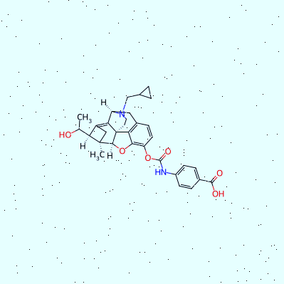 CC(O)[C@H]1C2=C3[C@H]4Cc5ccc(OC(=O)Nc6ccc(C(=O)O)cc6)c6c5[C@@]3(CCN4CC3CC3)[C@@H](O6)[C@]1(C)C2